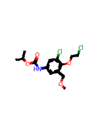 COCc1cc(NC(=O)OC(C)C)cc(Cl)c1OCCCl